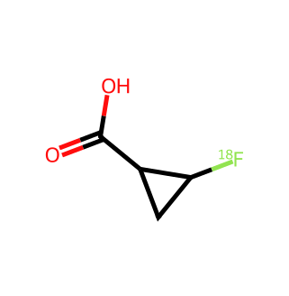 O=C(O)C1CC1[18F]